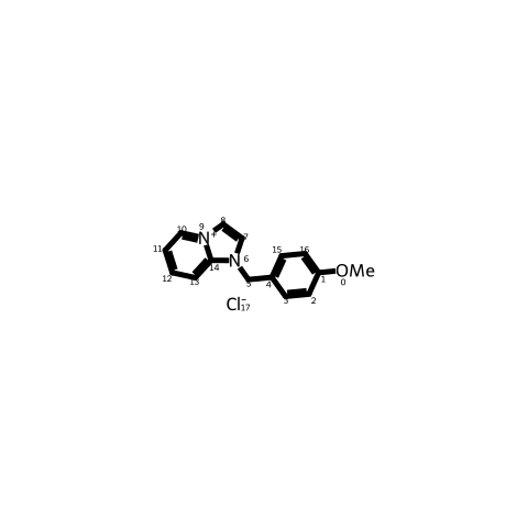 COc1ccc(Cn2cc[n+]3ccccc23)cc1.[Cl-]